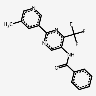 Cc1cncc(-c2ncc(NC(=O)c3ccccc3)c(C(F)(F)F)n2)c1